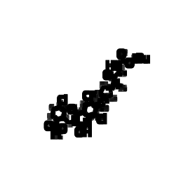 CCS(=O)(=O)c1ccc(Cl)cc1Cn1c(=O)[nH]c2c(Cl)c(CN3CCC(N(C)C(=O)CNC(=O)OC(C)(C)C)C3)c(C(F)(F)F)cc2c1=O